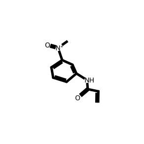 C=CC(=O)Nc1cccc([N+](C)=O)c1